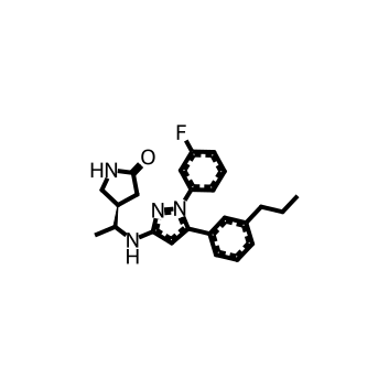 CCCc1cccc(-c2cc(NC(C)[C@H]3CNC(=O)C3)nn2-c2cccc(F)c2)c1